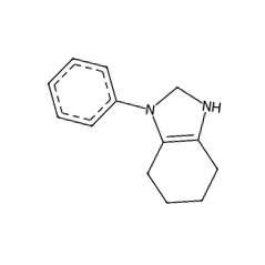 c1ccc(N2CNC3=C2CCCC3)cc1